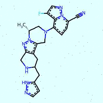 C[C@@H]1CN(c2ccc(C#N)n3ncc(F)c23)Cc2c3c(nn21)CNC(Cc1ccn[nH]1)C3